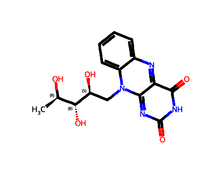 C[C@@H](O)[C@@H](O)[C@@H](O)Cn1c2nc(=O)[nH]c(=O)c-2nc2ccccc21